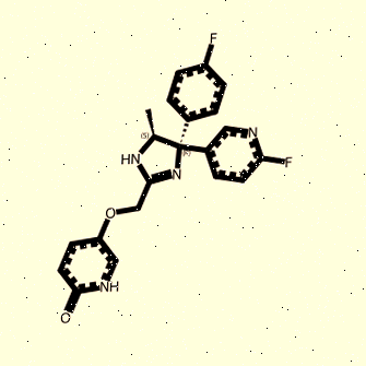 C[C@@H]1NC(COc2ccc(=O)[nH]c2)=N[C@]1(c1ccc(F)cc1)c1ccc(F)nc1